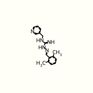 Cc1cccc(C)c1C=NNC(=N)NCc1cccnc1